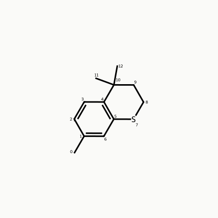 Cc1[c]cc2c(c1)SCCC2(C)C